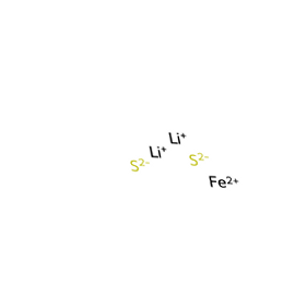 [Fe+2].[Li+].[Li+].[S-2].[S-2]